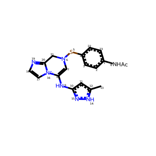 CC(=O)Nc1ccc(SN2C=C(Nc3cc(C)[nH]n3)[N+]3C=CN=C3C2)cc1